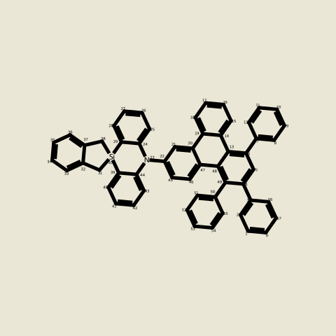 c1ccc(-c2cc(-c3ccccc3)c3c4ccccc4c4cc(N5c6ccccc6[Si]6(Cc7ccccc7C6)c6ccccc65)ccc4c3c2-c2ccccc2)cc1